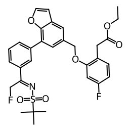 CCOC(=O)Cc1ccc(F)cc1OCc1cc(-c2cccc(C(CF)=NS(=O)(=O)C(C)(C)C)c2)c2occc2c1